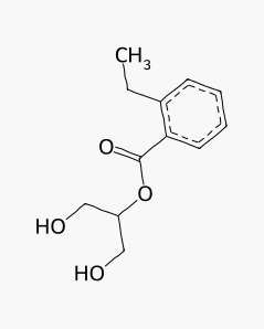 CCc1ccccc1C(=O)OC(CO)CO